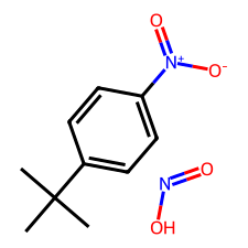 CC(C)(C)c1ccc([N+](=O)[O-])cc1.O=NO